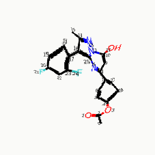 CC(=O)Oc1ccc(-c2cc(O)n3nc(C)c(-c4ccc(F)cc4F)c3n2)cc1